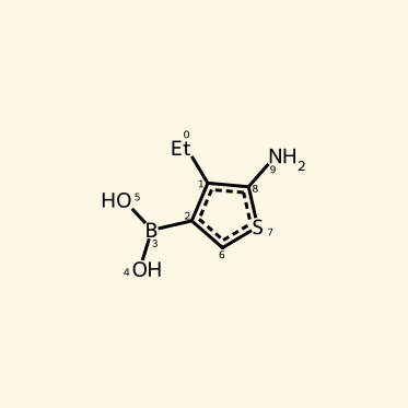 CCc1c(B(O)O)csc1N